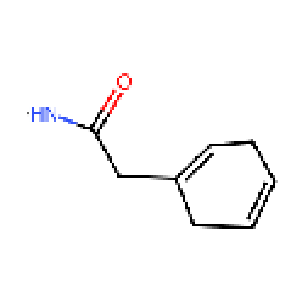 [NH]C(=O)CC1=CCC=CC1